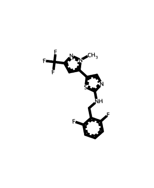 Cn1nc(C(F)(F)F)cc1-c1cnc(NCc2c(F)cccc2F)s1